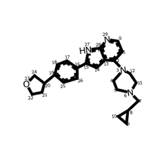 c1cc(N2CCN(CC3CC3)CC2)c2cc(-c3ccc(C4CCOC4)cc3)[nH]c2n1